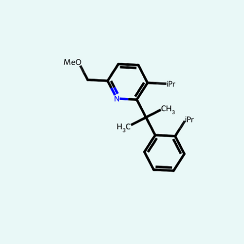 COCc1ccc(C(C)C)c(C(C)(C)c2ccccc2C(C)C)n1